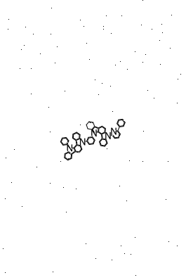 C1=Cc2c(n(-c3cccc(-n4c5ccccc5c5c4ccc4c6ccccc6n(-c6ccccc6)c45)c3)c3c2ccc2c3c3ccccc3n2-c2cccc(-c3ccccc3)n2)CC1